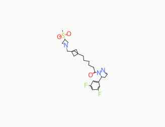 CS(=O)(=O)C1CN(CC23CC(CCCCCC(=O)N4N=CCC4c4cc(F)cc(F)c4)(C2)C3)C1